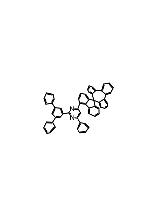 c1ccc(-c2cc(-c3ccccc3)cc(-c3nc(-c4ccccc4)cc(-c4cccc5c4-c4ccccc4C54c5ccccc5-c5ccccc5-c5ccccc54)n3)c2)cc1